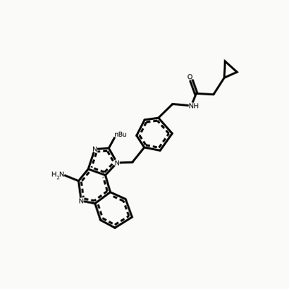 CCCCc1nc2c(N)nc3ccccc3c2n1Cc1ccc(CNC(=O)CC2CC2)cc1